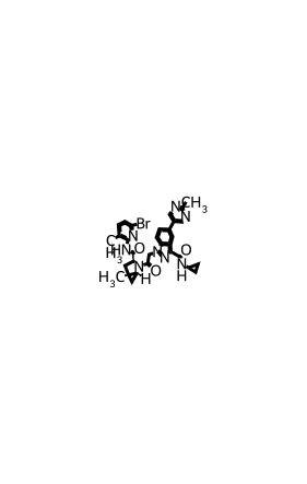 Cc1ncc(-c2ccc3c(c2)c(C(=O)NC2CC2)nn3CC(=O)N2[C@H](C(=O)Nc3nc(Br)ccc3C)C[C@@]3(C)C[C@@H]23)cn1